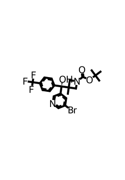 CC(C)(C)OC(=O)N1CC(C)([C@](O)(c2ccc(C(F)(F)F)cc2)c2cncc(Br)c2)C1